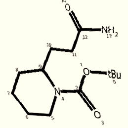 CC(C)(C)OC(=O)N1CCCCC1CCC(N)=O